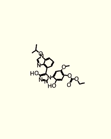 CCOC(=O)Oc1cc(O)c(-n2nnc(O)c2-c2cccc3c2ncn3OC(C)C)cc1OC